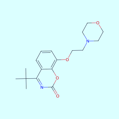 CC(C)(C)c1nc(=O)oc2c(OCCN3CCOCC3)cccc12